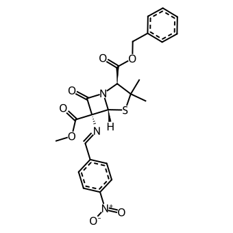 COC(=O)[C@@]1(N=Cc2ccc([N+](=O)[O-])cc2)C(=O)N2[C@@H](C(=O)OCc3ccccc3)C(C)(C)S[C@@H]21